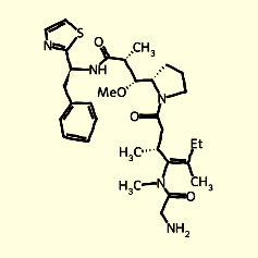 CC/C(C)=C(\[C@H](C)CC(=O)N1CCC[C@H]1[C@H](OC)[C@@H](C)C(=O)N[C@@H](Cc1ccccc1)c1nccs1)N(C)C(=O)CN